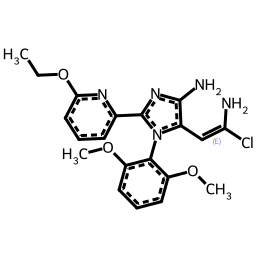 CCOc1cccc(-c2nc(N)c(/C=C(\N)Cl)n2-c2c(OC)cccc2OC)n1